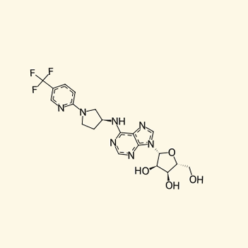 OC[C@H]1O[C@@H](n2cnc3c(N[C@H]4CCN(c5ccc(C(F)(F)F)cn5)C4)ncnc32)[C@H](O)[C@@H]1O